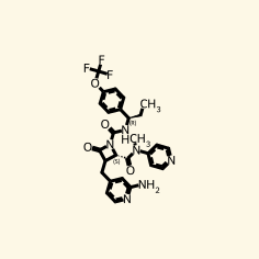 CC[C@@H](NC(=O)N1C(=O)C(Cc2ccnc(N)c2)[C@H]1C(=O)N(C)c1ccncc1)c1ccc(OC(F)(F)F)cc1